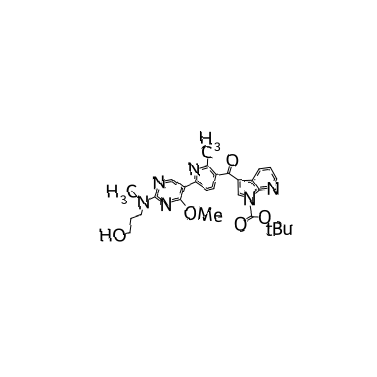 COc1nc(N(C)CCCO)ncc1-c1ccc(C(=O)c2cn(C(=O)OC(C)(C)C)c3ncccc23)c(C)n1